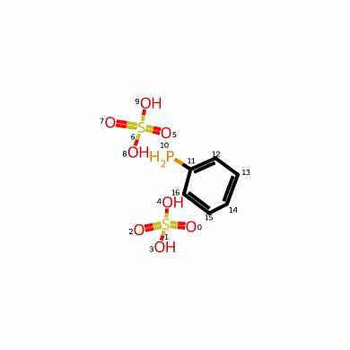 O=S(=O)(O)O.O=S(=O)(O)O.Pc1ccccc1